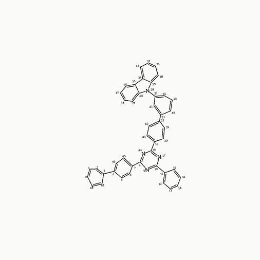 c1ccc(-c2ccc(-c3nc(-c4ccccc4)nc(-c4ccc(-c5cccc(-n6c7ccccc7c7ccccc76)c5)cc4)n3)cc2)cc1